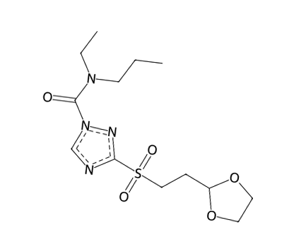 CCCN(CC)C(=O)n1cnc(S(=O)(=O)CCC2OCCO2)n1